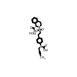 CC#CCN(C(=O)O)c1ccc(CCS(=O)(=O)N2CCc3ccccc3[C@H]2C(=O)NO)cc1